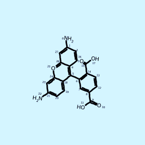 Nc1ccc2c(-c3cc(C(=O)O)ccc3C(=O)O)c3ccc(N)cc3[o+]c2c1